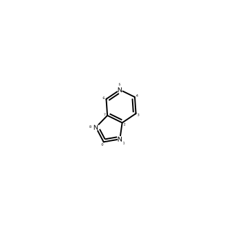 C1=Nc2ccncc2N=1